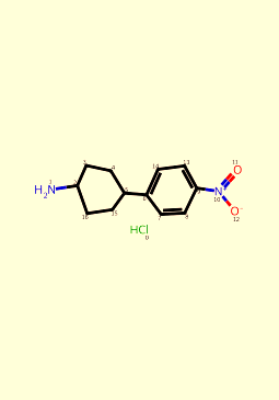 Cl.NC1CCC(c2ccc([N+](=O)[O-])cc2)CC1